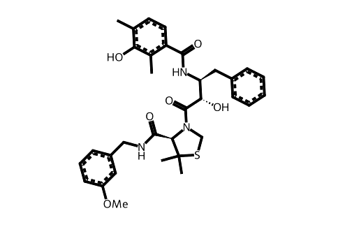 COc1cccc(CNC(=O)[C@H]2N(C(=O)[C@@H](O)[C@H](Cc3ccccc3)NC(=O)c3ccc(C)c(O)c3C)CSC2(C)C)c1